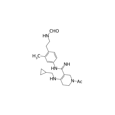 CC(=O)N1CCC(NCC2CC2)=C(C(=N)Nc2ccc(CCNC=O)c(C)c2)C1